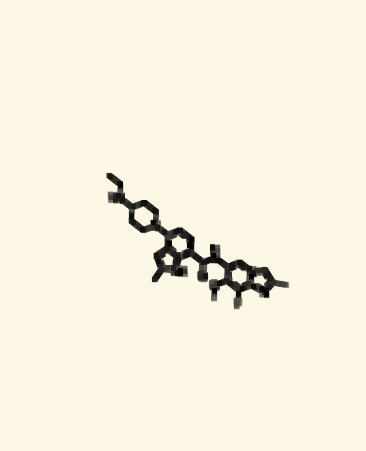 CCNC1CCN(c2ccc(C(=O)Nc3cn4cc(C)nc4c(F)c3OC)c3[nH]c(C)cc23)CC1